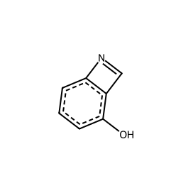 Oc1cccc2c1C=N2